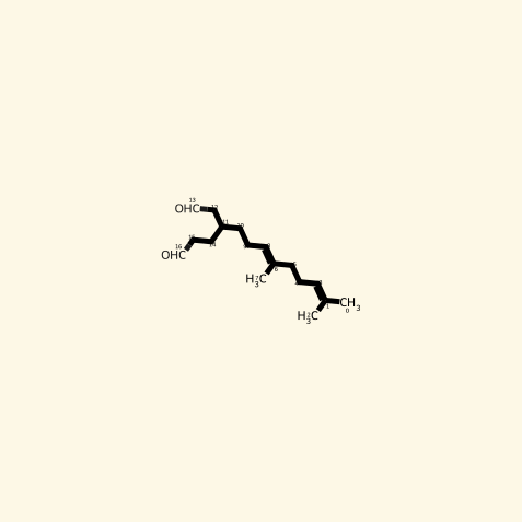 CC(C)=CCC/C(C)=C/CCC(CC=O)CCC=O